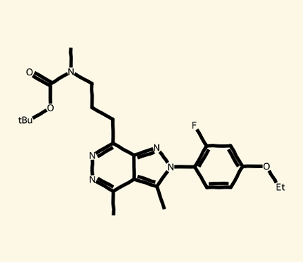 CCOc1ccc(-n2nc3c(CCCN(C)C(=O)OC(C)(C)C)nnc(C)c3c2C)c(F)c1